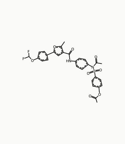 CC(=O)Oc1ccc(S(=O)(=O)N(C(C)=O)c2ccc(NC(=O)c3cc(-c4ccc(OC(F)F)cc4)oc3C)cc2)cc1